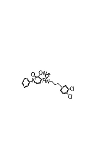 COc1c(C(=O)NCCCc2ccc(Cl)c(Cl)c2)ccn(-c2ccccc2)c1=O